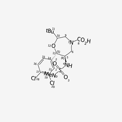 CNS(=O)(=O)N[C@@H]1CN(C(=O)O)CC(C(C)(C)C)O[C@H]1c1ccc(Cl)c(Cl)c1